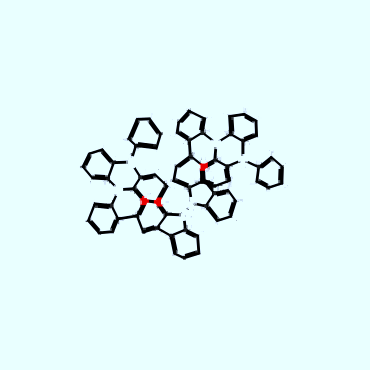 c1ccc(B2c3ccccc3B(c3ccccc3-c3ccc4c(c3)c3ccccc3n4-n3c4ccccc4c4cc(-c5ccccc5B5c6ccccc6B(c6ccccc6)c6ccccc65)ccc43)c3ccccc32)cc1